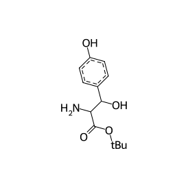 CC(C)(C)OC(=O)C(N)C(O)c1ccc(O)cc1